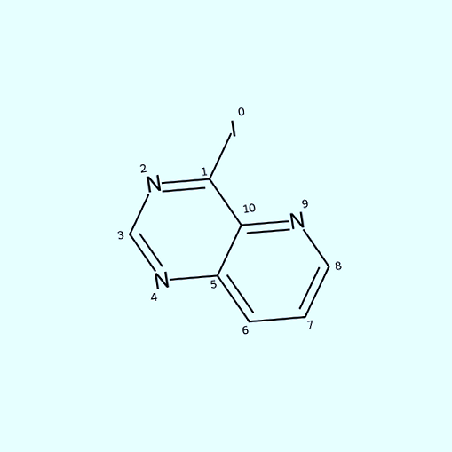 Ic1ncnc2cccnc12